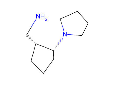 NC[C@H]1CCC[C@H]1N1CCCC1